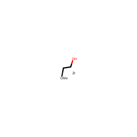 COCCO.[Zr]